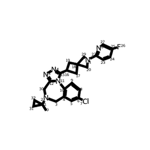 CC1(N2Cc3cc(Cl)ccc3-n3c(nnc3C3CC4(C3)CN(c3ccc(F)cn3)C4)C2)CC1